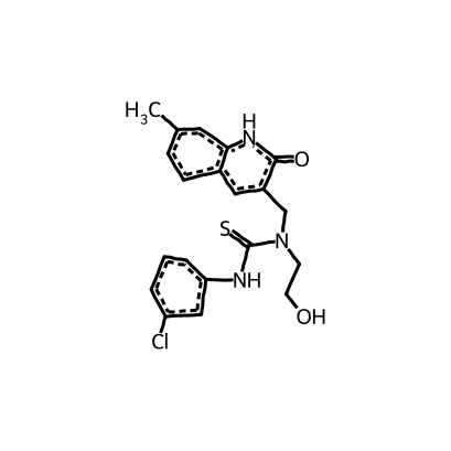 Cc1ccc2cc(CN(CCO)C(=S)Nc3cccc(Cl)c3)c(=O)[nH]c2c1